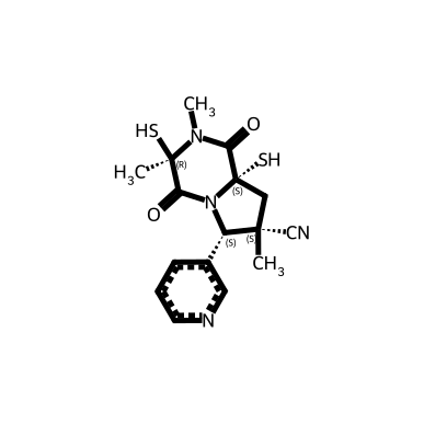 CN1C(=O)[C@@]2(S)C[C@](C)(C#N)[C@H](c3cccnc3)N2C(=O)[C@@]1(C)S